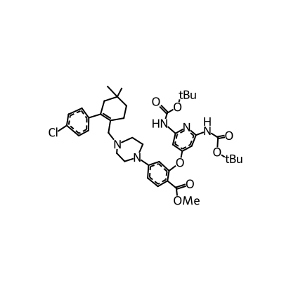 COC(=O)c1ccc(N2CCN(CC3=C(c4ccc(Cl)cc4)CC(C)(C)CC3)CC2)cc1Oc1cc(NC(=O)OC(C)(C)C)nc(NC(=O)OC(C)(C)C)c1